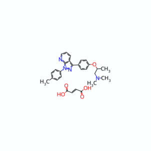 Cc1ccc(-n2nc(-c3ccc(OC(C)CN(C)C)cc3)c3cccnc32)cc1.O=C(O)C=CC(=O)O